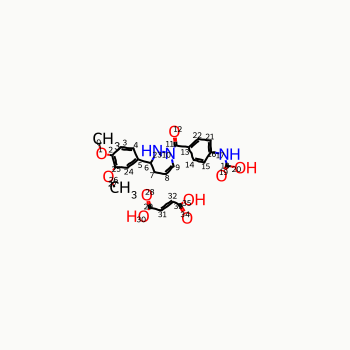 COc1ccc(C2CC=CN(C(=O)c3ccc(NC(=O)O)cc3)N2)cc1OC.O=C(O)C=CC(=O)O